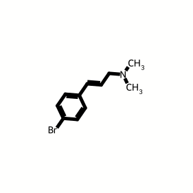 CN(C)CC=Cc1ccc(Br)cc1